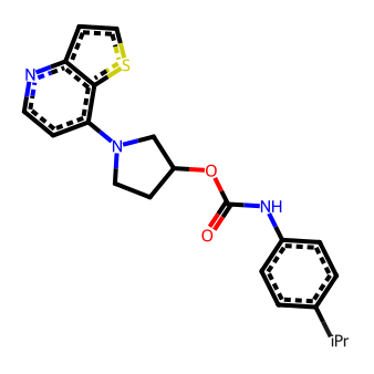 CC(C)c1ccc(NC(=O)OC2CCN(c3ccnc4ccsc34)C2)cc1